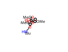 COC(=O)[C@H]1[C@@H](O)[C@@]2(O)c3c(OC)cc(OCCCCNC(C)(C)C)cc3O[C@@]2(c2ccc(OC)cc2)[C@@H]1c1ccccc1